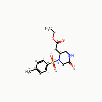 CCOC(=O)CC1CNC(=O)CN1S(=O)(=O)c1ccc(C)cc1